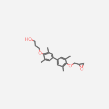 Cc1cc(-c2cc(C)c(OCC3CO3)c(C)c2)cc(C)c1OCCCO